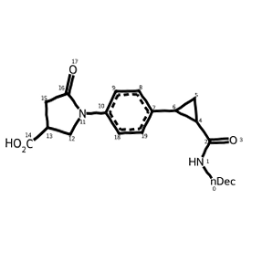 CCCCCCCCCCNC(=O)C1CC1c1ccc(N2CC(C(=O)O)CC2=O)cc1